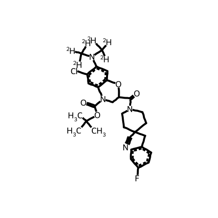 [2H]C([2H])([2H])N(c1cc2c(cc1Cl)N(C(=O)OC(C)(C)C)CC(C(=O)N1CCC(C#N)(Cc3ccc(F)cc3)CC1)O2)C([2H])([2H])[2H]